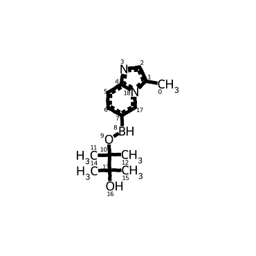 Cc1cnc2ccc(BOC(C)(C)C(C)(C)O)cn12